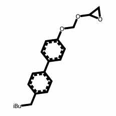 CCC(C)Cc1ccc(-c2ccc(OCOC3CO3)cc2)cc1